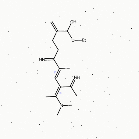 C=C(CCC(=N)/C(C)=C/C(C(C)=N)=C(\C)N(C)C)C(O)OCC